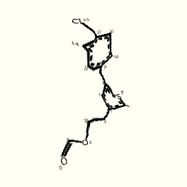 O=COCCc1csc(-c2ccc(Cl)cc2)c1